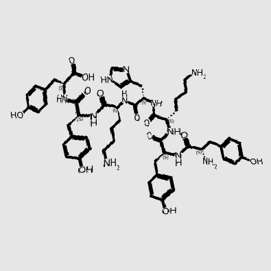 NCCCC[C@H](NC(=O)[C@H](Cc1c[nH]cn1)NC(=O)[C@H](CCCCN)NC(=O)[C@H](Cc1ccc(O)cc1)NC(=O)[C@@H](N)Cc1ccc(O)cc1)C(=O)N[C@@H](Cc1ccc(O)cc1)C(=O)N[C@@H](Cc1ccc(O)cc1)C(=O)O